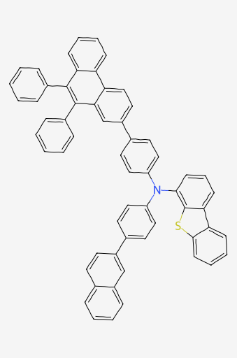 c1ccc(-c2c(-c3ccccc3)c3cc(-c4ccc(N(c5ccc(-c6ccc7ccccc7c6)cc5)c5cccc6c5sc5ccccc56)cc4)ccc3c3ccccc23)cc1